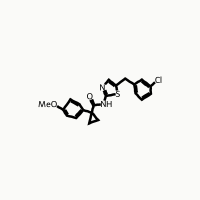 COc1ccc(C2(C(=O)Nc3ncc(Cc4cccc(Cl)c4)s3)CC2)cc1